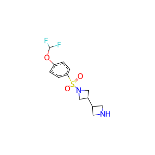 O=S(=O)(c1ccc(OC(F)F)cc1)N1CC(C2CNC2)C1